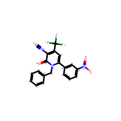 [C-]#[N+]c1c(C(F)(F)F)cc(-c2cccc([N+](=O)[O-])c2)n(Cc2ccccc2)c1=O